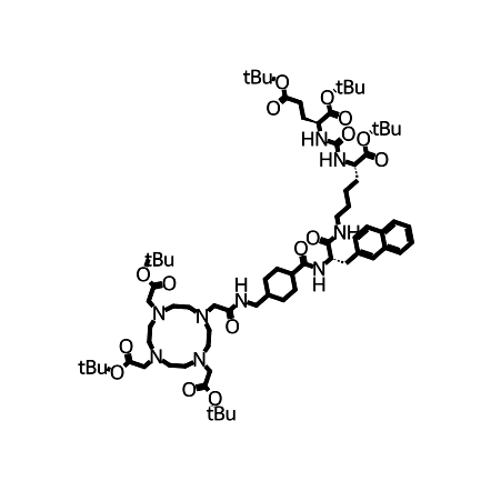 CC(C)(C)OC(=O)CC[C@H](NC(=O)N[C@@H](CCCCNC(=O)[C@H](Cc1ccc2ccccc2c1)NC(=O)C1CCC(CNC(=O)CN2CCN(CC(=O)OC(C)(C)C)CCN(CC(=O)OC(C)(C)C)CCN(CC(=O)OC(C)(C)C)CC2)CC1)C(=O)OC(C)(C)C)C(=O)OC(C)(C)C